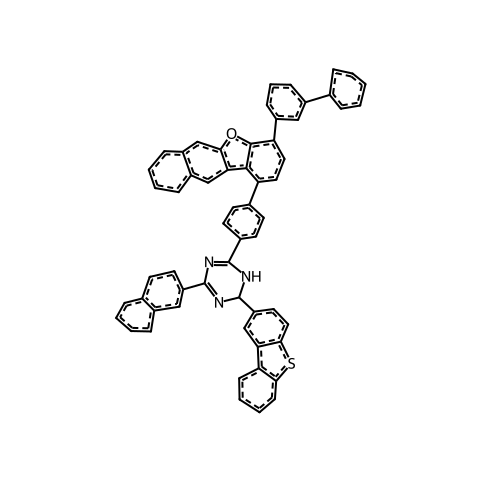 c1ccc(-c2cccc(-c3ccc(-c4ccc(C5=NC(c6ccc7ccccc7c6)=NC(c6ccc7sc8ccccc8c7c6)N5)cc4)c4c3oc3cc5ccccc5cc34)c2)cc1